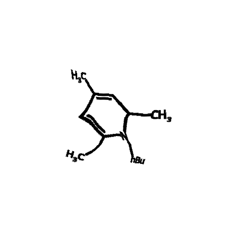 CCCCN1C(C)=CC(C)=CC1C